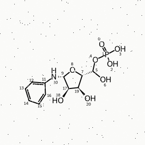 O=P(O)(O)OC(O)[C@H]1O[C@@H](Nc2ccccc2)[C@H](O)[C@@H]1O